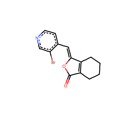 O=C1O/C(=C\c2ccncc2Br)C2=C1CCCC2